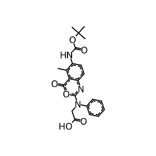 Cc1c(NC(=O)OC(C)(C)C)ccc2nc(N(CC(=O)O)c3ccccc3)oc(=O)c12